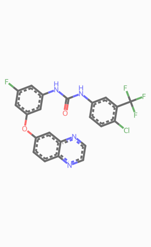 O=C(Nc1cc(F)cc(Oc2ccc3nccnc3c2)c1)Nc1ccc(Cl)c(C(F)(F)F)c1